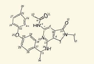 CCN1Cc2c(cc(NC(C)=O)nc2NC(C)c2ccc(Oc3ccc(C)cc3)cc2)C1=O